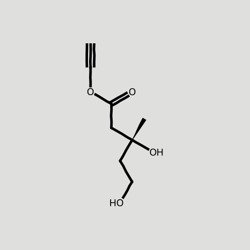 C#COC(=O)C[C@](C)(O)CCO